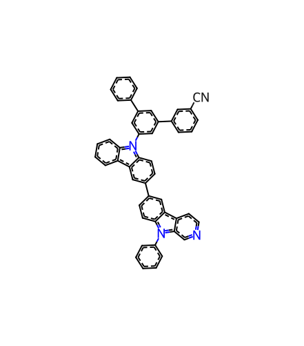 N#Cc1cccc(-c2cc(-c3ccccc3)cc(-n3c4ccccc4c4cc(-c5ccc6c(c5)c5ccncc5n6-c5ccccc5)ccc43)c2)c1